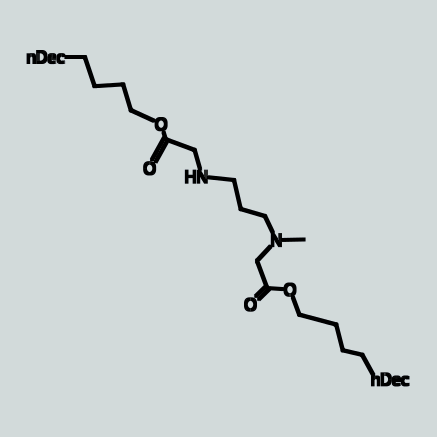 CCCCCCCCCCCCCCOC(=O)CNCCCN(C)CC(=O)OCCCCCCCCCCCCCC